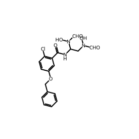 O=CN(O)CC(NC(=O)c1cc(OCc2ccccc2)ccc1Cl)N(O)C=O